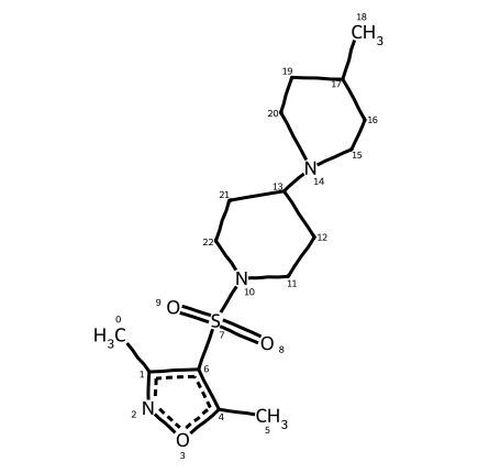 Cc1noc(C)c1S(=O)(=O)N1CCC(N2CCC(C)CC2)CC1